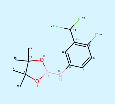 CC1(C)OB(Bc2ccc(F)c(C(F)F)c2)OC1(C)C